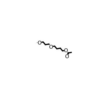 CC(=O)OCCCCOCCC[O]